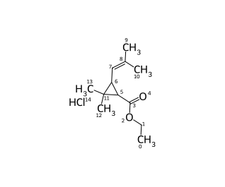 CCOC(=O)C1C(C=C(C)C)C1(C)C.Cl